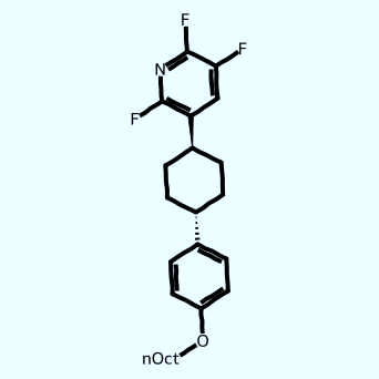 CCCCCCCCOc1ccc([C@H]2CC[C@H](c3cc(F)c(F)nc3F)CC2)cc1